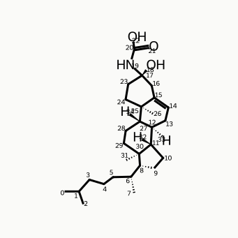 CC(C)CCC[C@@H](C)[C@H]1CC[C@H]2[C@@H]3CC=C4C[C@@](O)(NC(=O)O)CC[C@]4(C)[C@H]3CC[C@]12C